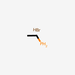 Br.CCP